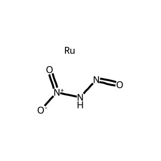 O=NN[N+](=O)[O-].[Ru]